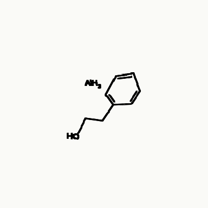 OCCc1ccccc1.[AlH3]